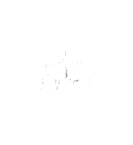 C=N/C(=C(\C)[C@@H](C)O)N1CCOCC1